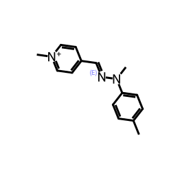 Cc1ccc(N(C)/N=C/c2cc[n+](C)cc2)cc1